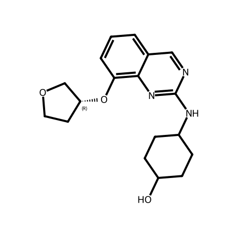 OC1CCC(Nc2ncc3cccc(O[C@@H]4CCOC4)c3n2)CC1